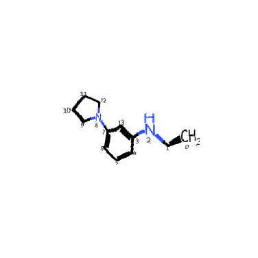 C=CNc1cccc(N2CCCC2)c1